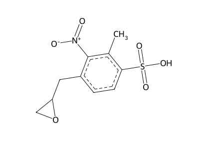 Cc1c(S(=O)(=O)O)ccc(CC2CO2)c1[N+](=O)[O-]